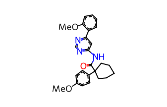 COc1ccc(C2(C(=O)Nc3cc(-c4ccccc4OC)ncn3)CCCCC2)cc1